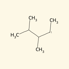 C[C]C(C)C(C)C